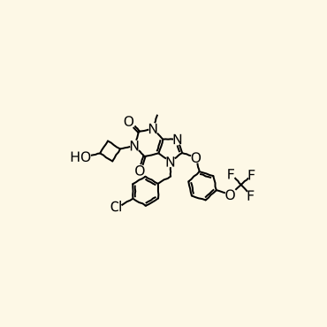 Cn1c(=O)n(C2CC(O)C2)c(=O)c2c1nc(Oc1cccc(OC(F)(F)F)c1)n2Cc1ccc(Cl)cc1